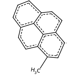 Cc1c[c]c2ccc3cccc4ccc1c2c34